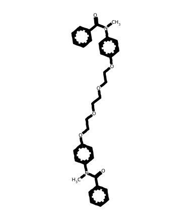 CN(C(=O)c1ccccc1)c1ccc(OCCOCCOCCOc2ccc(N(C)C(=O)c3ccccc3)cc2)cc1